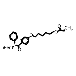 C=CC(=O)OCCCCCCOc1ccc(C(=O)N(c2ccccc2)C(C)CCC)cc1